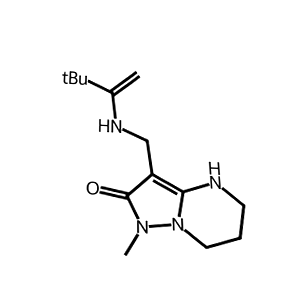 C=C(NCc1c2n(n(C)c1=O)CCCN2)C(C)(C)C